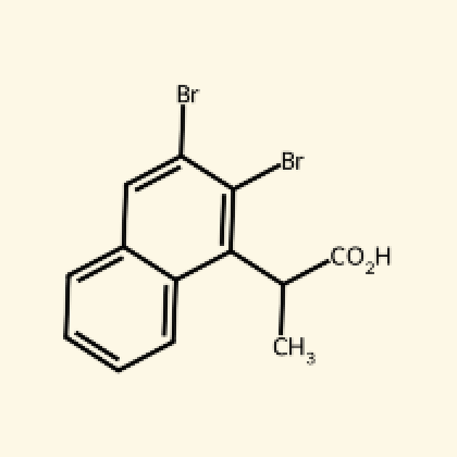 CC(C(=O)O)c1c(Br)c(Br)cc2ccccc12